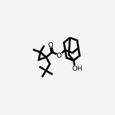 CC(C)(C)CC1(C(=O)OC23CC4CC(CC(O)(C4)C2)C3)CC1(C)C